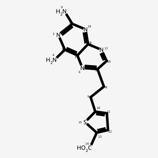 Nc1nc(N)c2nc(CCc3ccc(C(=O)O)s3)cnc2n1